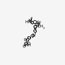 COc1cc(N2CCC(CN3CCN(c4ccc5c(c4)CN([C@H]4CCC(=O)NC4=O)C5=O)CC3)CC2)ccc1C1=C(CC(F)(F)F)CCCc2c1ccc1[nH]nc(F)c21